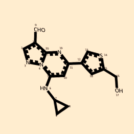 O=Cc1cnn2c(NC3CC3)cc(-c3csc(CO)c3)nc12